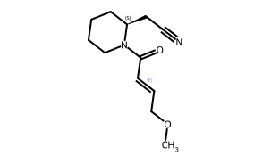 COC/C=C/C(=O)N1CCCC[C@H]1CC#N